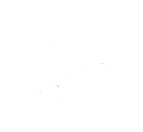 C/C=C\c1cc(Br)cc(CCc2c(OCC)cccc2C2=NCCN2)c1C